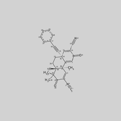 [C-]#[N+]C1=C[C@]2(C)C3=CC(=O)C(C#N)=C[C@]3(C#Cc3ccccc3)CC[C@H]2C(C)(C)C1=O